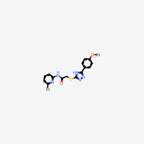 CCOc1ccc(-c2nnc(SCC(=O)Nc3cccc(CC)n3)[nH]2)cc1